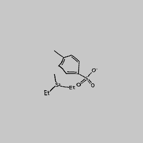 CC[S+](C)CC.Cc1ccc(S(=O)(=O)[O-])cc1